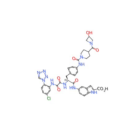 O=C(Nc1cc(Cl)ccc1-n1cnnn1)C(=O)N[C@@H](Cc1ccc(NC(=O)N2CCC(C(=O)N3CC(O)C3)CC2)cc1)C(=O)Nc1ccc2[nH]c(C(=O)O)cc2c1